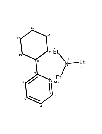 CCN(CC)CC.c1ccc(C2CCCCC2)nc1